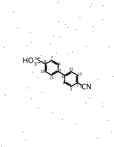 N#Cc1ccc(-c2ccc(S(=O)(=O)O)cc2)cc1